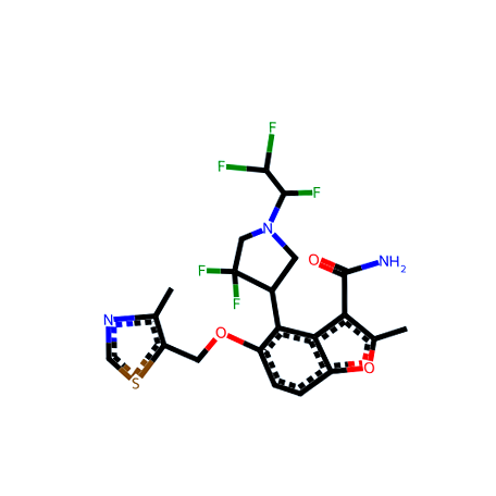 Cc1ncsc1COc1ccc2oc(C)c(C(N)=O)c2c1C1CN(C(F)C(F)F)CC1(F)F